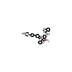 NC(=O)C(c1ccccc1)(c1ccc(Nc2ncnc3ccccc23)cc1F)n1cc2cc(-c3ccc(N4CCNCC4)cc3)ccc2n1